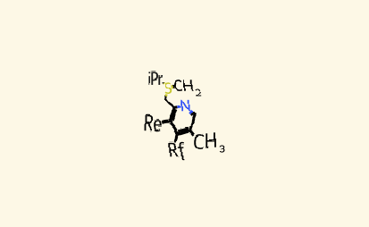 C=S(Cc1ncc(C)[c]([Rf])[c]1[Re])C(C)C